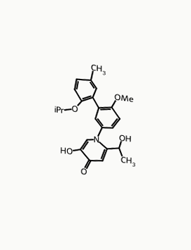 COc1ccc(-n2cc(O)c(=O)cc2C(C)O)cc1-c1cc(C)ccc1OC(C)C